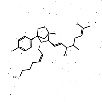 C/C(Cl)=C/CC(C)[C@@H](O)/C=C/[C@@H]1[C@@H]2C[C@@](c3ccc(F)cc3)(CO2)[C@H]1C/C=C\CCCC(=O)O